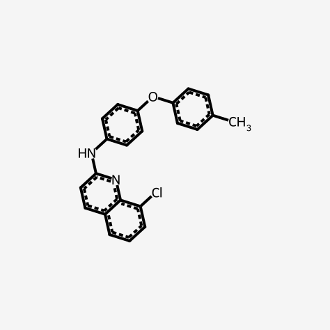 Cc1ccc(Oc2ccc(Nc3ccc4cccc(Cl)c4n3)cc2)cc1